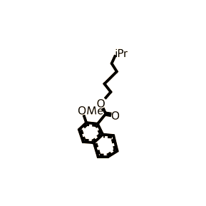 COc1ccc2ccccc2c1C(=O)OCCCCC(C)C